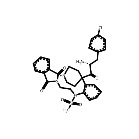 CS(=O)(=O)N(CCN1C(=O)c2ccccc2C1=O)c1ccccc1C1(C(=O)[C@H](N)Cc2ccc(Cl)cc2)CCNCC1